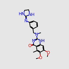 COc1cc2[nH]c(N(C)Cc3cccc(N=C4NCCN4)c3)nc(=O)c2c(C)c1OC